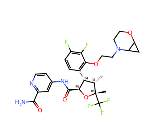 C[C@H]1[C@@H](c2ccc(F)c(F)c2OCCN2CCOC3CC32)[C@H](C(=O)Nc2ccnc(C(N)=O)c2)O[C@@]1(C)C(F)(F)F